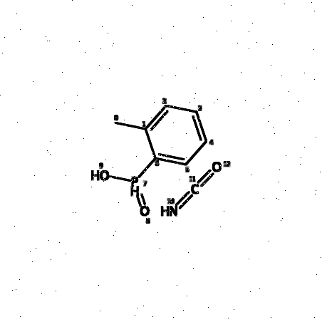 Cc1ccccc1[PH](=O)O.N=C=O